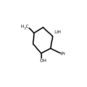 CC1CCC(C(C)C)C(O)C1.[LiH]